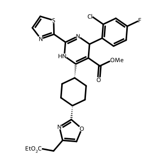 CCOC(=O)Cc1coc([C@H]2CC[C@@H](C3=C(C(=O)OC)C(c4ccc(F)cc4Cl)N=C(c4nccs4)N3)CC2)n1